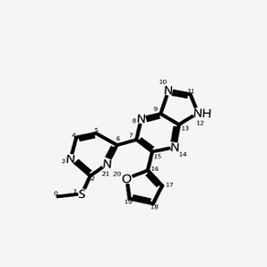 CSc1nccc(-c2nc3nc[nH]c3nc2-c2ccco2)n1